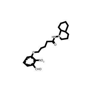 O=Cc1cccc(OCCCCC(=O)NN2CCCC3CCCCC32)c1[N+](=O)[O-]